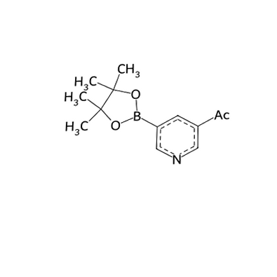 CC(=O)c1cncc(B2OC(C)(C)C(C)(C)O2)c1